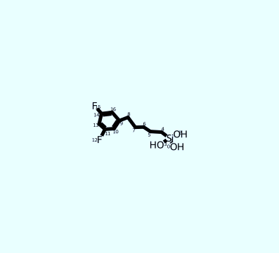 O[Si](O)(O)CCCCCc1cc(F)cc(F)c1